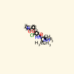 CC1(C)CC(NC(=O)c2ccc(Oc3ccccc3C(=O)N3CCCC3)c(Cl)c2)CC(C)(C)N1